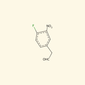 O=CCc1ccc(F)c([N+](=O)[O-])c1